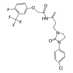 C=C(CCN1CCN(c2ccc(Cl)cc2)C1=O)NC(=O)COc1ccc(F)c(C(F)(F)F)c1